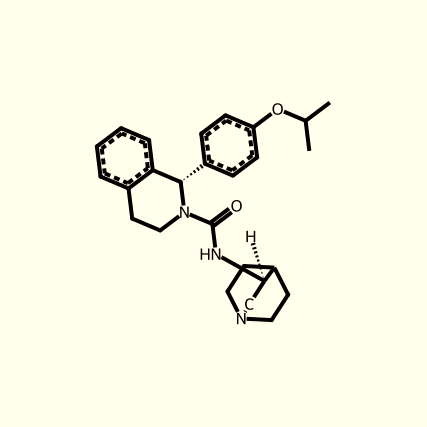 CC(C)Oc1ccc([C@H]2c3ccccc3CCN2C(=O)N[C@@H]2CN3CCC2CC3)cc1